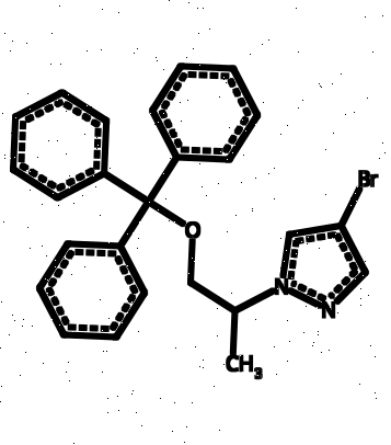 CC(COC(c1ccccc1)(c1ccccc1)c1ccccc1)n1cc(Br)cn1